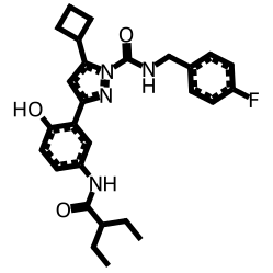 CCC(CC)C(=O)Nc1ccc(O)c(-c2cc(C3CCC3)n(C(=O)NCc3ccc(F)cc3)n2)c1